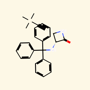 C[Si](C)(C)C#C[C@@H]1NC(=O)[C@H]1NC(c1ccccc1)(c1ccccc1)c1ccccc1